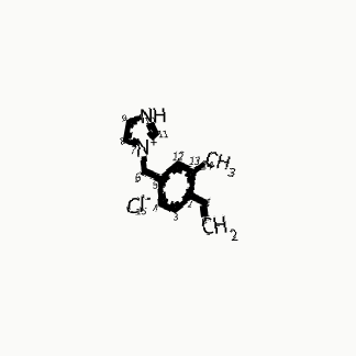 C=Cc1ccc(C[n+]2cc[nH]c2)cc1C.[Cl-]